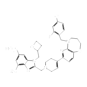 CC(C)(C)c1cc(C(=O)O)cc2c1nc(CN1CC=C(c3ccc4c(n3)N(Cc3ccc(Cl)cc3F)CCCO4)CC1)n2CC1CCO1